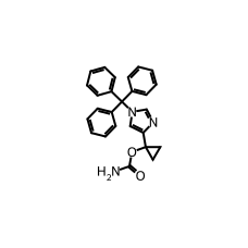 NC(=O)OC1(c2cn(C(c3ccccc3)(c3ccccc3)c3ccccc3)cn2)CC1